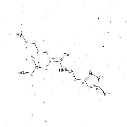 CCCCC[C@@H](CN(O)C=O)C(=O)NNCc1cc(C)on1